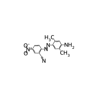 Cc1cc(/N=N/c2ccc([N+](=O)[O-])cc2C#N)c(C)cc1N